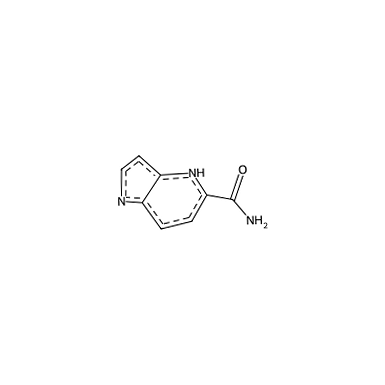 NC(=O)c1ccc2nccc-2[nH]1